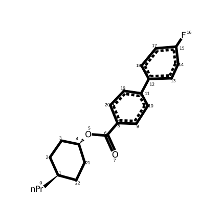 CCC[C@H]1CC[C@H](OC(=O)c2ccc(-c3ccc(F)cc3)cc2)CC1